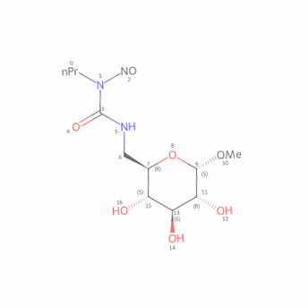 CCCN(N=O)C(=O)NC[C@H]1O[C@H](OC)[C@H](O)[C@@H](O)[C@@H]1O